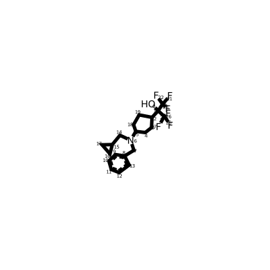 OC(C1CCC(N(Cc2ccccc2)CC2CC2)CC1)(C(F)(F)F)C(F)(F)F